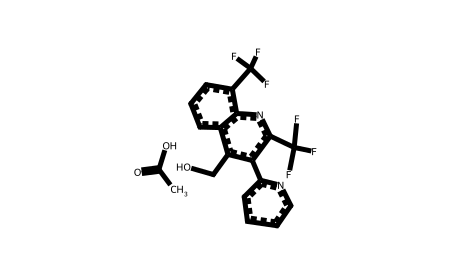 CC(=O)O.OCc1c(-c2ccccn2)c(C(F)(F)F)nc2c(C(F)(F)F)cccc12